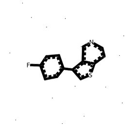 Fc1ccc(-c2csc3ccn[c]c23)cc1